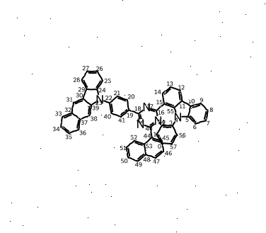 c1ccc(-n2c3ccccc3c3cccc(-c4nc(-c5ccc(-n6c7ccccc7c7cc8ccccc8cc76)cc5)nc(-c5cccc6ccccc56)n4)c32)cc1